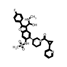 CNC(O)c1c(-c2ccc(F)cc2)oc2cc(NS(C)(=O)=O)c([C@@H]3CCCN(C(=O)C4CC4c4ccccn4)C3)cc12